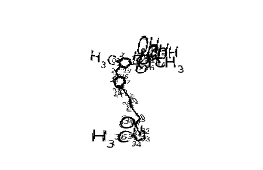 Cc1ccc([C@]23CC(O)[C@H](O)[C@](C(C)(C)O)(CO2)O3)cc1Cc1ccc(CCCC(=O)N2CCCC2C)cc1